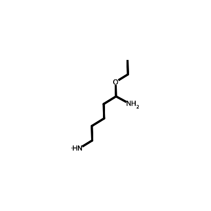 CCOC(N)CCCC[NH]